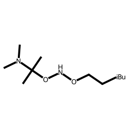 CCC(C)CCONOC(C)(C)N(C)C